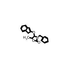 CC1OC(=O)N(Cc2ccccc2)C1OC1=Cc2ccccc2C1